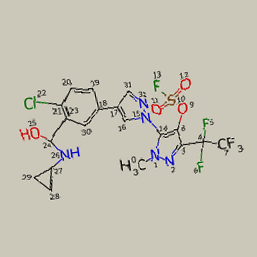 Cn1nc(C(F)(F)C(F)(F)F)c(OS(=O)(=O)F)c1-n1cc(-c2ccc(Cl)c(C(O)NC3CC3)c2)cn1